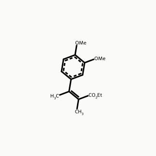 CCOC(=O)/C(C)=C(/C)c1ccc(OC)c(OC)c1